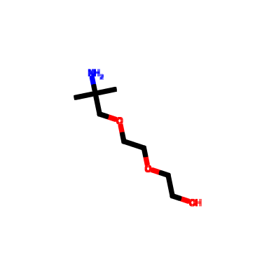 CC(C)(N)COCCOCCO